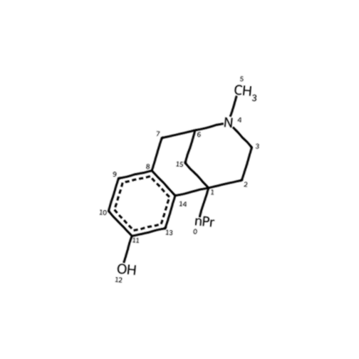 CCCC12CCN(C)C(Cc3ccc(O)cc31)C2